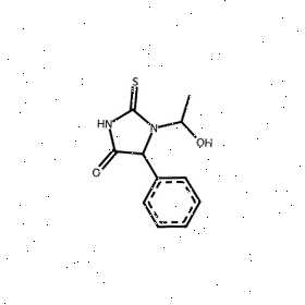 CC(O)N1C(=S)NC(=O)C1c1ccccc1